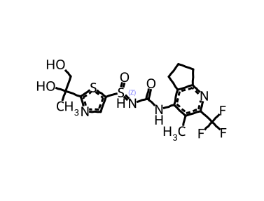 Cc1c(C(F)(F)F)nc2c(c1NC(=O)/N=[SH](=O)/c1cnc(C(C)(O)CO)s1)CCC2